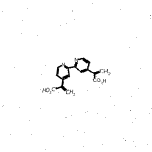 C=C(C(=O)O)c1ccnc(-c2cc(C(=C)C(=O)O)ccn2)c1